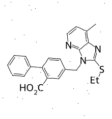 CCSc1nc2c(C)ccnc2n1Cc1ccc(-c2ccccc2)c(C(=O)O)c1